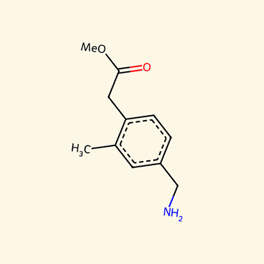 COC(=O)Cc1ccc(CN)cc1C